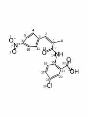 CC(=Cc1ccc([N+](=O)[O-])cc1)C(=O)Nc1ccc(Cl)cc1C(=O)O